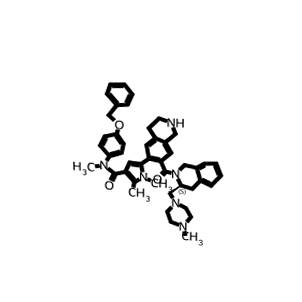 Cc1c(C(=O)N(C)c2ccc(OCc3ccccc3)cc2)cc(-c2cc3c(cc2C(=O)N2Cc4ccccc4C[C@H]2CN2CCN(C)CC2)CNCC3)n1C